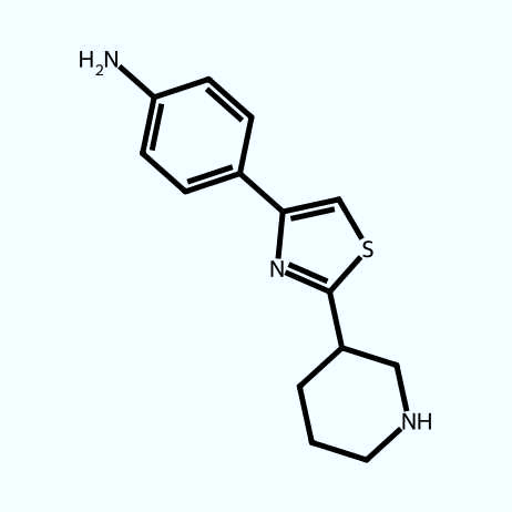 Nc1ccc(-c2csc(C3CCCNC3)n2)cc1